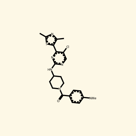 CNc1ccc(C(=O)N2CCC(Nc3ncc(Cl)c(-c4sc(C)nc4C)n3)CC2)cc1